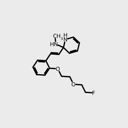 CNC1(C=Cc2ccccc2OCCOCCF)C=CC=CN1